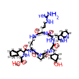 N=C(N)NCCC[C@@H]1NC(=O)[C@H](Cc2c[nH]c3ncccc23)NC(=O)[C@@H](C[C@H]2CC[C@@H](O)CC2)NC(=O)[C@@H]2CCCN2C(=O)[C@@H](NC(=O)C(Cc2ccccc2)NCC(=O)O)CCCNC1=O